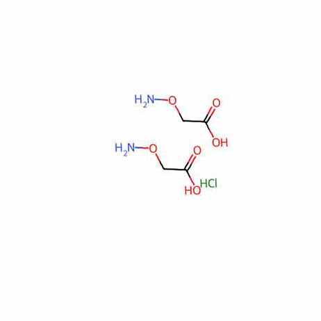 Cl.NOCC(=O)O.NOCC(=O)O